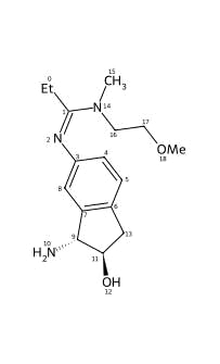 CCC(=Nc1ccc2c(c1)[C@@H](N)[C@H](O)C2)N(C)CCOC